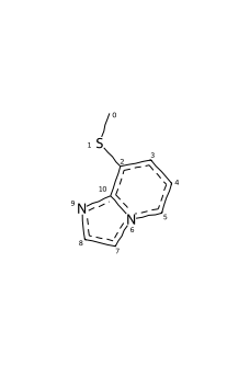 CSc1cccn2ccnc12